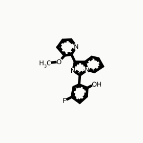 COc1cccnc1-c1nc(-c2cc(F)ccc2O)n2ccccc12